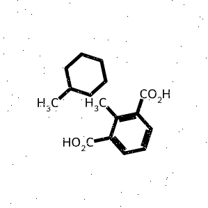 CC1CCCCC1.Cc1c(C(=O)O)cccc1C(=O)O